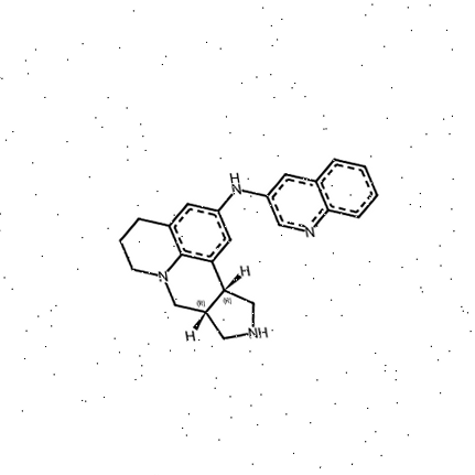 c1ccc2ncc(Nc3cc4c5c(c3)[C@@H]3CNC[C@@H]3CN5CCC4)cc2c1